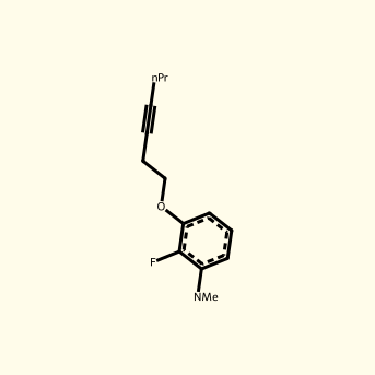 CCCC#CCCOc1cccc(NC)c1F